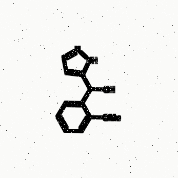 COc1ccccc1C(O)c1ccn[nH]1